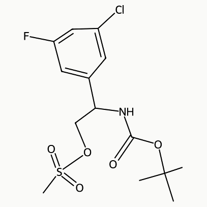 CC(C)(C)OC(=O)NC(COS(C)(=O)=O)c1cc(F)cc(Cl)c1